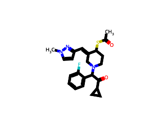 CC(=O)SC1CCN(C(C(=O)C2CC2)c2ccccc2F)C/C1=C\c1ccn(C)n1